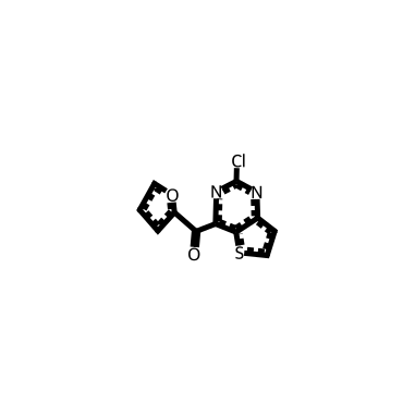 O=C(c1ccco1)c1nc(Cl)nc2ccsc12